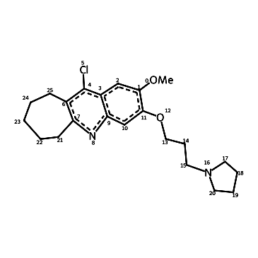 COc1cc2c(Cl)c3c(nc2cc1OCCCN1CCCC1)CCCCC3